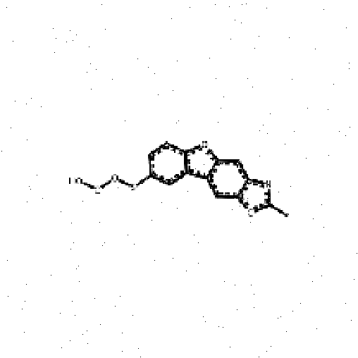 Cc1nc2cc3oc4ccc(SOOO)cc4c3cc2o1